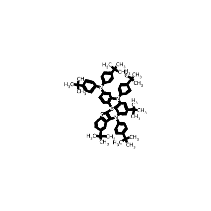 CC(C)(C)c1ccc(N(c2ccc(C(C)(C)C)cc2)c2ccc3c(c2)N(c2ccc(C(C)(C)C)cc2)c2cc(C(C)(C)C)cc4c2B3c2sc3ccc(C(C)(C)C)cc3c2N4c2ccc(C(C)(C)C)cc2)cc1